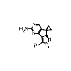 CC(C)c1c2c(nn1C)C1(CC1)c1cnc(N)nc1-2